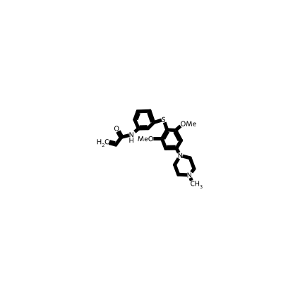 C=CC(=O)Nc1cccc(Sc2c(OC)cc(N3CCN(C)CC3)cc2OC)c1